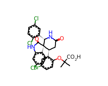 CC(C)(Oc1ccc(Br)cc1[C@H]1CC(=O)N[C@@H](c2cc(Cl)ccc2Cl)[C@]12C(=O)Nc1cc(Cl)ccc12)C(=O)O